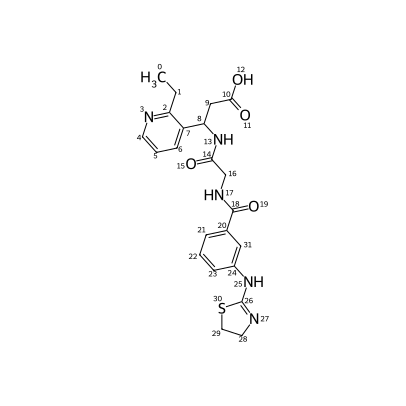 CCc1ncccc1C(CC(=O)O)NC(=O)CNC(=O)c1cccc(NC2=NCCS2)c1